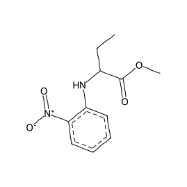 CCC(Nc1ccccc1[N+](=O)[O-])C(=O)OC